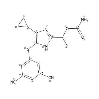 CC(OC(N)=O)c1nc(C2CC2)c(Sc2cc(C#N)cc(C#N)c2)[nH]1